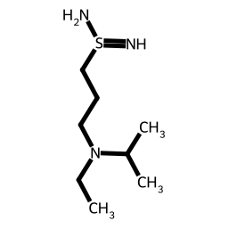 CCN(CCCS(=N)N)C(C)C